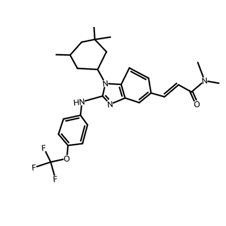 CC1CC(n2c(Nc3ccc(OC(F)(F)F)cc3)nc3cc(/C=C/C(=O)N(C)C)ccc32)CC(C)(C)C1